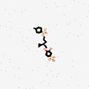 CCS(=O)(=O)c1ccc(OCC(CCCOS(=O)(=O)c2ccc(C)cc2)C2CC2)c(Br)c1